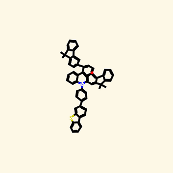 CC1(C)c2ccccc2-c2cc(-c3ccccc3-c3ccccc3N(c3ccc(-c4ccc5c(c4)sc4ccccc45)cc3)c3ccc4c(c3)C(C)(C)c3ccccc3-4)ccc21